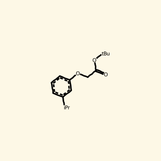 CC(C)c1cccc(OCC(=O)OC(C)(C)C)c1